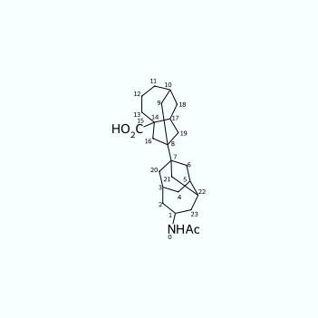 CC(=O)NC1CC2CC3CC(C45CC6CCCC(C(=O)O)(C4)C(C6)C5)(C2)CC3C1